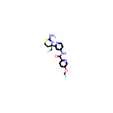 NC1=N[C@](CF)(c2cc(NC(=O)c3ccc(OCF)cn3)ccn2)CCS1